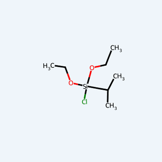 CCO[Si](Cl)(OCC)C(C)C